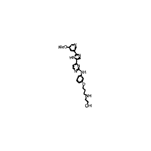 COc1cncc(-c2ncc(-c3ccnc(Nc4cccc(OCCCNCCO)c4)n3)[nH]2)c1